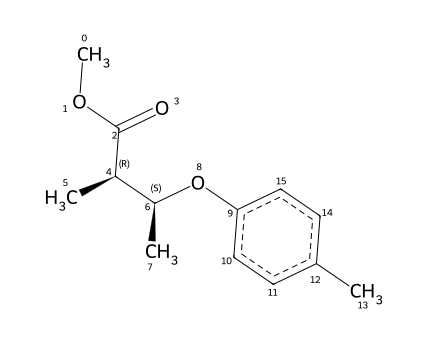 COC(=O)[C@H](C)[C@H](C)Oc1ccc(C)cc1